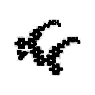 CCCCCOc1ccc(-[c+]2cc(-c3ccccc3)cc(-c3ccccc3)s2)cc1.CCCCCOc1ccc(-[c+]2cc(-c3ccccc3)cc(-c3ccccc3)s2)cc1.[O-]B([O-])F